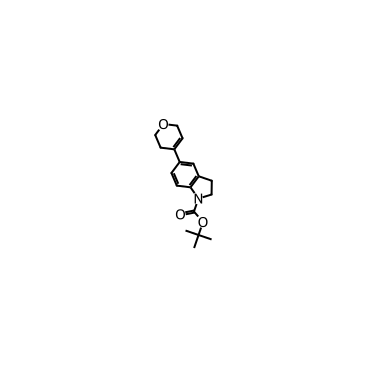 CC(C)(C)OC(=O)N1CCc2cc(C3=CCOCC3)ccc21